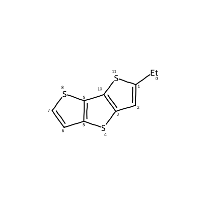 CCc1cc2sc3ccsc3c2s1